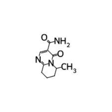 CC1CCCc2ncc(C(N)=O)c(=O)n21